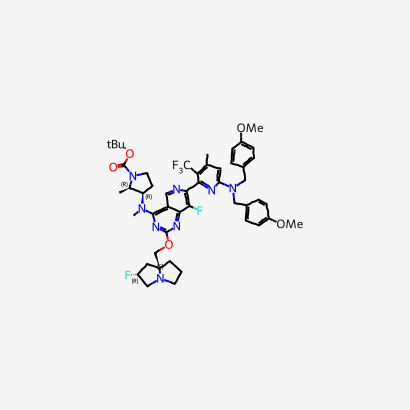 COc1ccc(CN(Cc2ccc(OC)cc2)c2cc(C)c(C(F)(F)F)c(-c3ncc4c(N(C)[C@@H]5CCN(C(=O)OC(C)(C)C)[C@@H]5C)nc(OC[C@@]56CCCN5C[C@H](F)C6)nc4c3F)n2)cc1